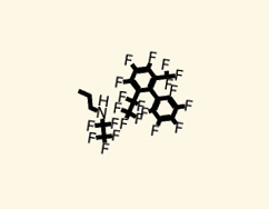 CCCNC(F)(F)C(F)(F)F.Fc1c(F)c(F)c(-c2c(C(F)(F)F)c(F)c(F)c(F)c2C(F)(F)C(F)(F)F)c(F)c1F